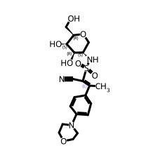 C/C(=C(/C#N)S(=O)(=O)N[C@H]1CO[C@H](CO)[C@@H](O)[C@@H]1O)c1ccc(N2CCOCC2)cc1